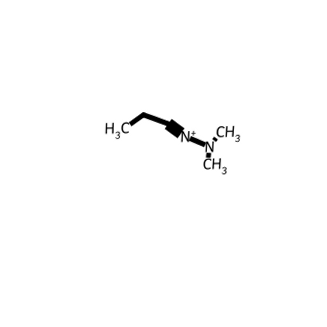 CCC#[N+]N(C)C